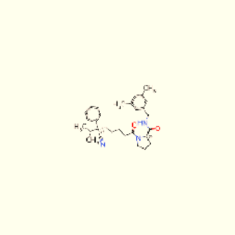 Cc1cc(C)cc(CNC(=O)[C@H]2CCCN2C(=O)CCCC[C@@](C#N)(c2ccccc2)C(C)C)c1